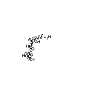 CC(C)(CO)C(O)C(=O)NCCC(=O)NCCSC(=O)CC(O)CCCCC(=O)O